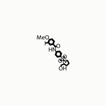 COc1ccc(C(=O)Nc2ccc(S(=O)(=O)N3CCCC3CO)cc2)cc1I